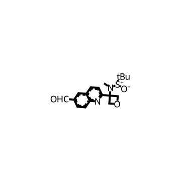 CN([S+]([O-])C(C)(C)C)C1(c2ccc3cc(C=O)ccc3n2)COC1